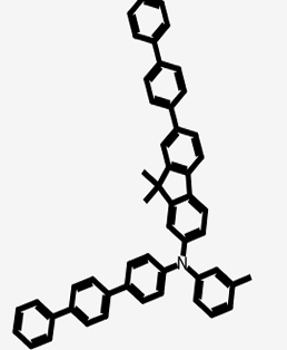 Cc1cccc(N(c2ccc(-c3ccc(-c4ccccc4)cc3)cc2)c2ccc3c(c2)C(C)(C)c2cc(-c4ccc(-c5ccccc5)cc4)ccc2-3)c1